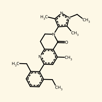 CCc1cccc(CC)c1-c1cc(C)c2c(n1)CCN(c1c(C)nn(CC)c1C)C2=O